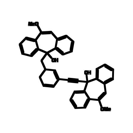 COC1=Cc2ccccc2C(O)(C#CC2=CC(CC3(O)c4ccccc4C=C(OC)c4ccccc43)CC=C2)c2ccccc21